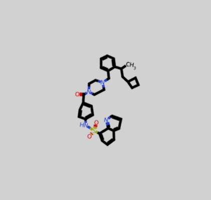 CC(CC1CCC1)c1ccccc1CN1CCN(C(=O)c2ccc(NS(=O)(=O)c3cccc4cccnc34)cc2)CC1